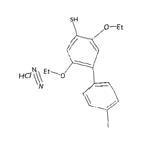 CCOc1cc(-c2ccc(C)cc2)c(OCC)cc1S.Cl.N#N